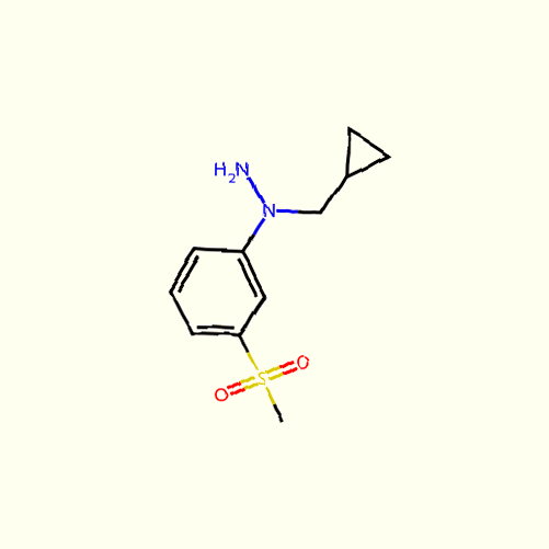 CS(=O)(=O)c1cccc(N(N)CC2CC2)c1